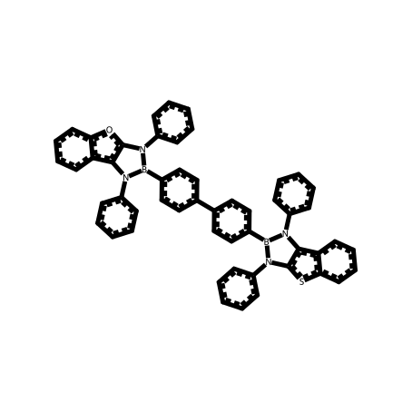 c1ccc(N2B(c3ccc(-c4ccc(B5N(c6ccccc6)c6sc7ccccc7c6N5c5ccccc5)cc4)cc3)N(c3ccccc3)c3c2oc2ccccc32)cc1